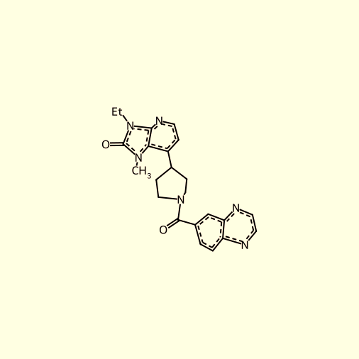 CCn1c(=O)n(C)c2c(C3CCN(C(=O)c4ccc5nccnc5c4)CC3)ccnc21